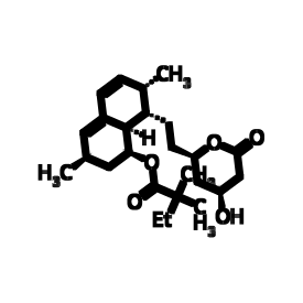 CCC(C)(C)C(=O)O[C@H]1C[C@@H](C)C=C2C=C[C@H](C)[C@H](CC[C@@H]3C[C@H](O)CC(=O)O3)[C@H]21